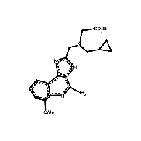 CCOC(=O)CN(Cc1nc2c3cccc(OC)c3nc(N)n2n1)CC1CC1